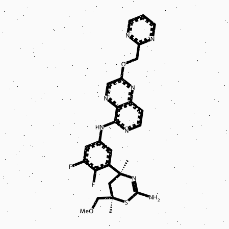 COC[C@@]1(C)C[C@@](C)(c2cc(Nc3nccc4nc(OCc5ncccn5)cnc34)cc(F)c2F)N=C(N)S1